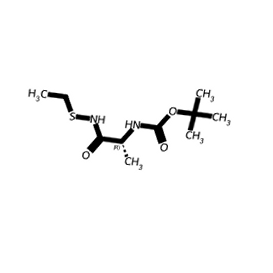 CCSNC(=O)[C@@H](C)NC(=O)OC(C)(C)C